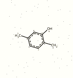 [CH2]c1ccc(C)cc1O